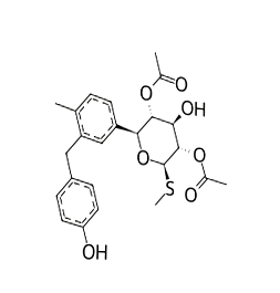 CS[C@H]1O[C@@H](c2ccc(C)c(Cc3ccc(O)cc3)c2)[C@H](OC(C)=O)[C@@H](O)[C@@H]1OC(C)=O